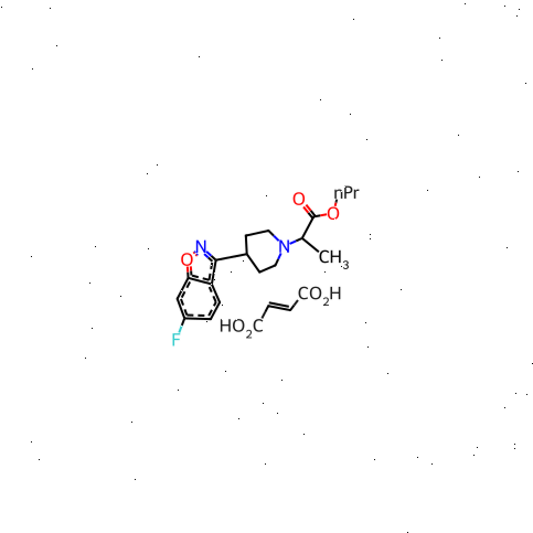 CCCOC(=O)C(C)N1CCC(c2noc3cc(F)ccc23)CC1.O=C(O)/C=C/C(=O)O